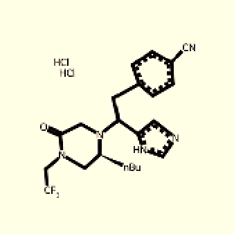 CCCC[C@H]1CN(CC(F)(F)F)C(=O)CN1C(Cc1ccc(C#N)cc1)c1cnc[nH]1.Cl.Cl